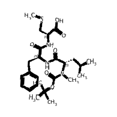 CSC[C@H](NC(=O)[C@H](Cc1ccccc1)NC(=O)[C@H](CC(C)C)N(C)C(=O)OC(C)(C)C)C(=O)O